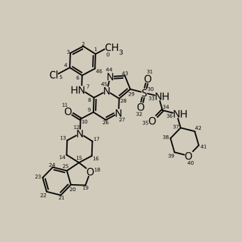 Cc1ccc(Cl)c(Nc2c(C(=O)N3CCC4(CC3)OCc3ccccc34)cnc3c(S(=O)(=O)NC(=O)NC4CCOCC4)cnn23)c1